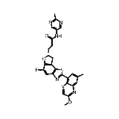 COc1cnc2c(-c3nc4cc(F)c5c(c4s3)C[C@H](CCC(=O)Nc3cnc(C)nc3)O5)cc(C)cc2n1